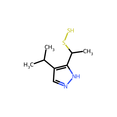 CC(C)c1cn[nH]c1C(C)SS